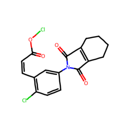 O=C(/C=C\c1cc(N2C(=O)C3=C(CCCC3)C2=O)ccc1Cl)OCl